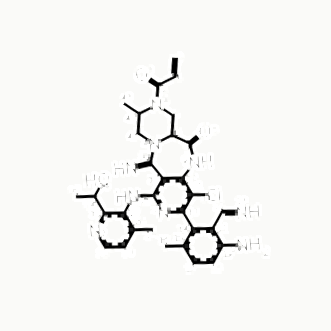 C=CC(=O)N1CC2C(=O)Nc3c(Cl)c(-c4c(C)ccc(N)c4C=N)nc(Nc4c(C)ccnc4C(C)O)c3C(=N)N2CC1C